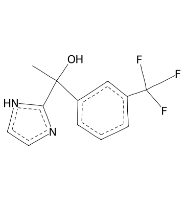 CC(O)(c1cccc(C(F)(F)F)c1)c1ncc[nH]1